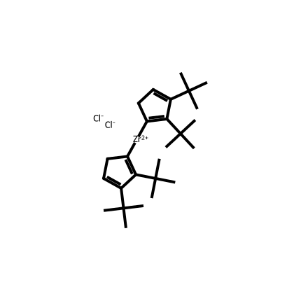 CC(C)(C)C1=CC[C]([Zr+2][C]2=C(C(C)(C)C)C(C(C)(C)C)=CC2)=C1C(C)(C)C.[Cl-].[Cl-]